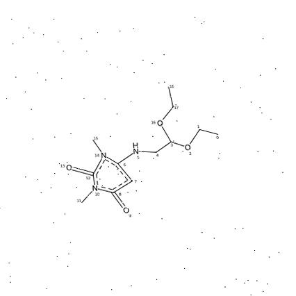 CCOC(CNc1cc(=O)n(C)c(=O)n1C)OCC